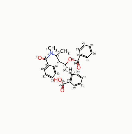 CC(CC(C)N(C)C(=O)c1ccccc1)OC(=O)c1ccccc1.O=C(O)c1ccccc1